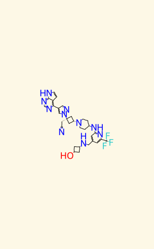 N#CC[C@]1(n2cc(-c3ncnc4[nH]ccc34)cn2)C[C@H](N2CCC(Nc3cc(CN[C@H]4C[C@H](O)C4)cc(C(F)(F)F)n3)CC2)C1